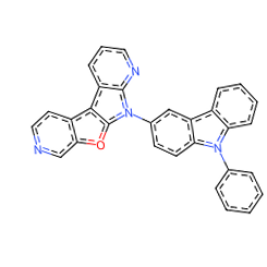 c1ccc(-n2c3ccccc3c3cc(-n4c5ncccc5c5c6ccncc6oc54)ccc32)cc1